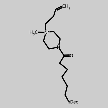 C=CCC[N+]1(C)CCN(C(=O)CCCCCCCCCCCCCCC)CC1